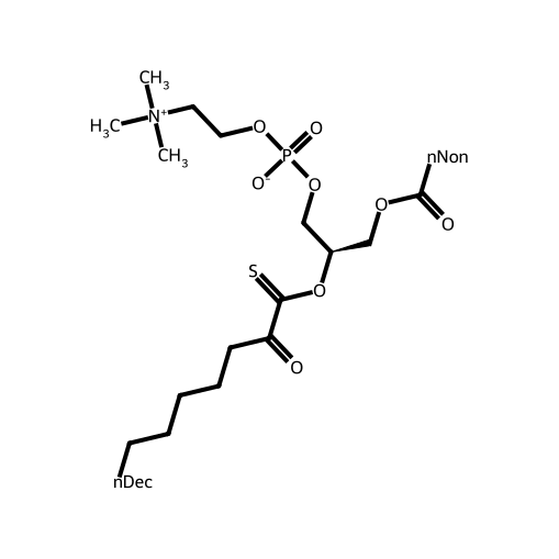 CCCCCCCCCCCCCCCC(=O)C(=S)O[C@H](COC(=O)CCCCCCCCC)COP(=O)([O-])OCC[N+](C)(C)C